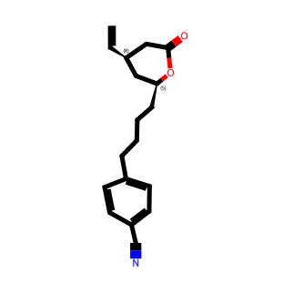 C=C[C@H]1CC(=O)O[C@@H](CCCCc2ccc(C#N)cc2)C1